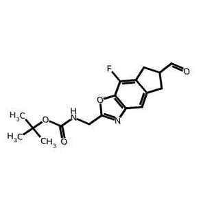 CC(C)(C)OC(=O)NCc1nc2cc3c(c(F)c2o1)CC(C=O)C3